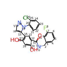 CN(Cc1cccc(F)c1)C(=O)c1cc(-c2ccnn2-c2ccccc2Cl)c(O)cc1O